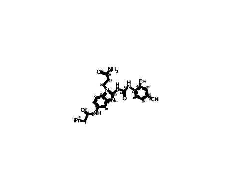 CC(C)CC(=O)Nc1ccc2c(c1)nc(NC(=O)Nc1ccc(C#N)cc1F)n2CCC(N)=O